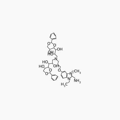 CCn1c(CN)[n+](CC)c2cc(OCCCN(CC(O)C(O)C3OC(c4ccccc4)OCC3O)CC(O)C(O)C3OC(c4ccccc4)OCC3O)ccc21